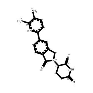 Nc1ccc(-c2ccc3c(c2)CN(C2CCC(=O)NC2=O)C3=O)nc1N